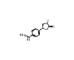 O=[C]Nc1ccc(C2CNC(=O)C2)cc1